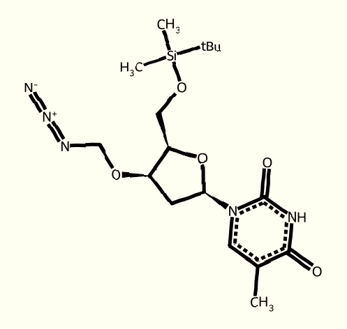 Cc1cn([C@H]2C[C@@H](OCN=[N+]=[N-])[C@@H](CO[Si](C)(C)C(C)(C)C)O2)c(=O)[nH]c1=O